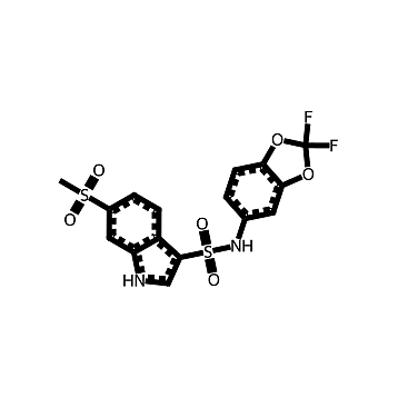 CS(=O)(=O)c1ccc2c(S(=O)(=O)Nc3ccc4c(c3)OC(F)(F)O4)c[nH]c2c1